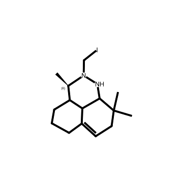 C[C@@H]1C2CCCC3=CCC(C)(C)C(NN1CI)C32